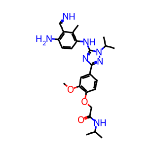 COc1cc(-c2nc(Nc3ccc(N)c(C=N)c3C)n(C(C)C)n2)ccc1OCC(=O)NC(C)C